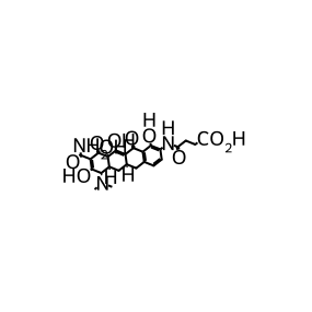 CN(C)[C@@H]1C(O)=C(C(N)=O)C(=O)[C@@]2(O)C(O)=C3C(=O)c4c(ccc(NC(=O)CCC(=O)O)c4O)C[C@H]3C[C@@H]12